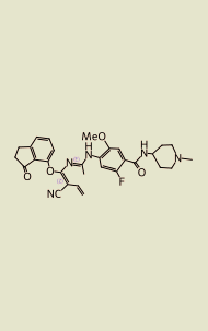 C=C/C(C#N)=C(\N=C(/C)Nc1cc(F)c(C(=O)NC2CCN(C)CC2)cc1OC)Oc1cccc2c1C(=O)CC2